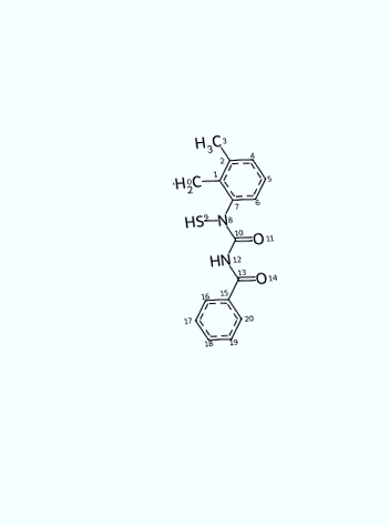 [CH2]c1c(C)cccc1N(S)C(=O)NC(=O)c1ccccc1